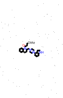 COCCC(=O)N1c2ccccc2CCC1CN1CCN(c2cccc3[nH]ccc23)CC1